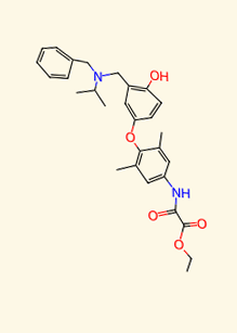 CCOC(=O)C(=O)Nc1cc(C)c(Oc2ccc(O)c(CN(Cc3ccccc3)C(C)C)c2)c(C)c1